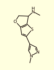 CNC1COc2cc(-c3cnn(C)c3)sc21